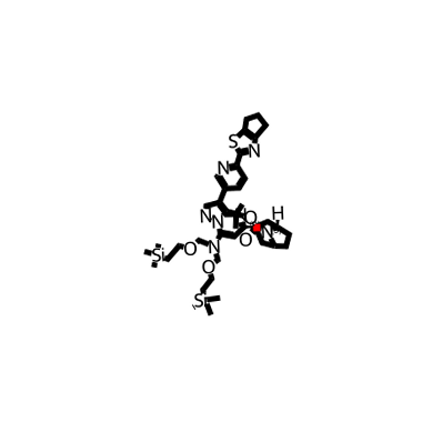 CC(C)(C)OC(=O)N1C2CC[C@H]1C[C@H](c1cc(N(COCC[Si](C)(C)C)COCC[Si](C)(C)C)n3ncc(-c4ccc(-c5nc6c(s5)CCC6)nc4)c3n1)C2